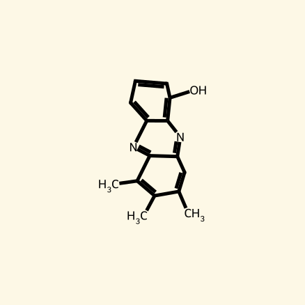 Cc1cc2nc3c(O)cccc3nc2c(C)c1C